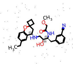 CCc1ccc2c(c1)[C@@H](NC[C@H](O)[C@H](Cc1cccc(C#N)c1)NC(=O)COC)CC1(CCC1)O2